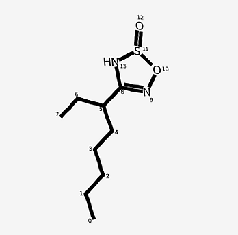 CCCCCC(CC)C1=NOS(=O)N1